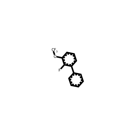 Fc1c(OC(F)(F)F)cccc1-c1ccccc1